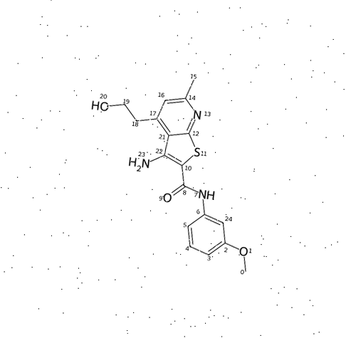 COc1cccc(NC(=O)c2sc3nc(C)cc(CCO)c3c2N)c1